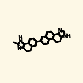 Cc1nc2c([nH]1)-c1ccc(-c3ccc4c5c(ccc4c3)-c3nc[nH]c3CC5)cc1CC2